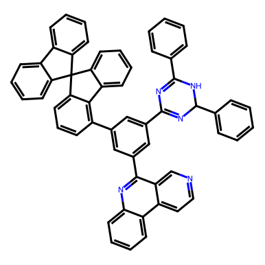 c1ccc(C2=NC(c3cc(-c4cccc5c4-c4ccccc4C54c5ccccc5-c5ccccc54)cc(-c4nc5ccccc5c5ccncc45)c3)=NC(c3ccccc3)N2)cc1